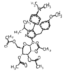 COc1ccc(Cc2c(O[C@@H]3O[C@H](COC(C)=O)[C@@H](OC(C)=O)[C@H](OC(C)=O)[C@H]3OC(C)=O)nn(C(C)C)c2-c2ccc(N(C)C)cc2)cc1